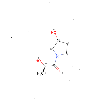 C[C@@H](O)C(=O)N1CCC(O)C1